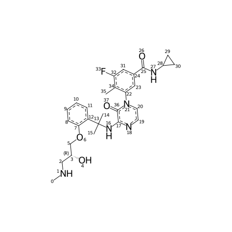 CNC[C@@H](O)COc1ccccc1C(C)(C)Nc1nccn(-c2cc(C(=O)NC3CC3)cc(F)c2C)c1=O